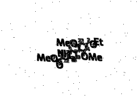 CCOCc1cc(OC)c(-c2ccc(C[C@H](N)C(=O)OC)cc2)c(OC)c1